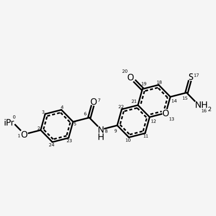 CC(C)Oc1ccc(C(=O)Nc2ccc3oc(C(N)=S)cc(=O)c3c2)cc1